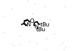 Cc1ccc(OC2CC(C(C)(C)C)N(C(C)(C)C)C2)nc1